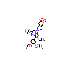 COc1ccc(-c2c(C)nn3c(NCc4ccc5c(c4)OCO5)cc(C)nc23)cc1OC